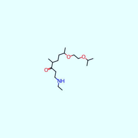 CCNCCC(=O)C(C)CCC(C)OCCOC(C)C